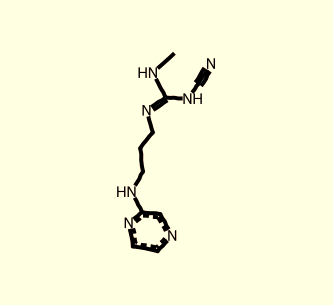 CN/C(=N/CCCNc1cnccn1)NC#N